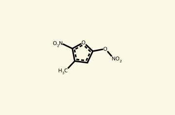 Cc1cc(O[N+](=O)[O-])oc1[N+](=O)[O-]